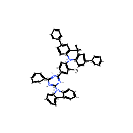 CC1(C)c2cc(-c3ccccc3)ccc2N(c2ccc(-c3nc(-c4ccccc4)nc(-n4c5ccccc5c5ccccc54)n3)cc2C#N)c2ccc(-c3ccccc3)cc21